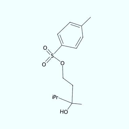 Cc1ccc(S(=O)(=O)OCCC(C)(O)C(C)C)cc1